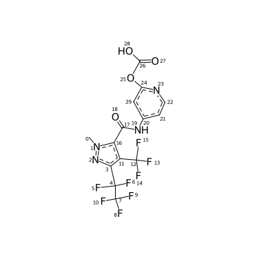 Cn1nc(C(F)(F)C(F)(F)F)c(C(F)(F)F)c1C(=O)Nc1ccnc(OC(=O)O)c1